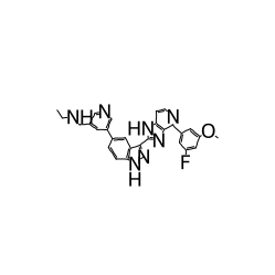 CCNCc1cncc(-c2ccc3[nH]nc(-c4nc5c(-c6cc(F)cc(OC)c6)nccc5[nH]4)c3c2)c1